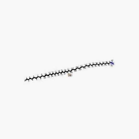 CCCCCCCCCCCCCCCCCCCCCCCCCCCCCCCCCCCCCCCCCCCCCCCC[N+](C)(C)C.[Br-]